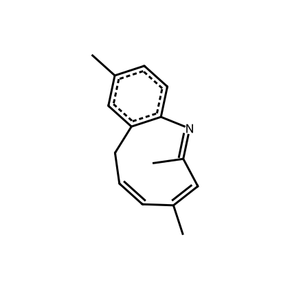 CC1=C/C(C)=N/c2ccc(C)cc2C/C=C\1